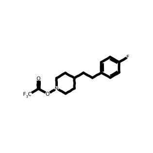 O=C(ON1CCC(CCc2ccc(F)cc2)CC1)C(F)(F)F